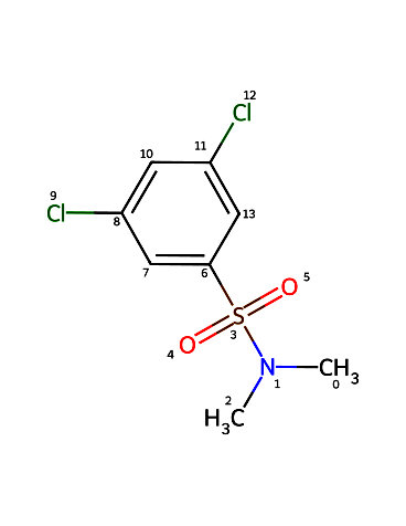 CN(C)S(=O)(=O)c1cc(Cl)cc(Cl)c1